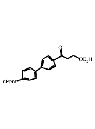 CCCCCc1ccc(-c2ccc(C(=O)CCC(=O)O)cc2)cc1